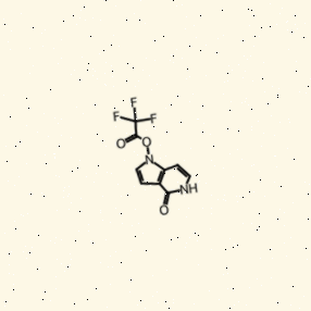 O=C(On1ccc2c(=O)[nH]ccc21)C(F)(F)F